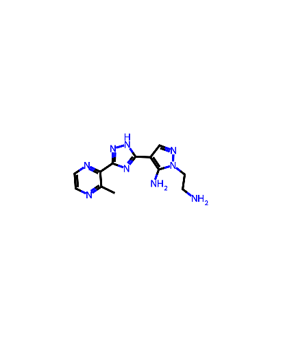 Cc1nccnc1-c1n[nH]c(-c2cnn(CCN)c2N)n1